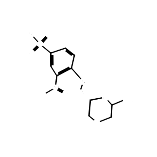 CC1COC[C@H](CNc2ccc(S(N)(=O)=O)cc2[N+](=O)[O-])O1